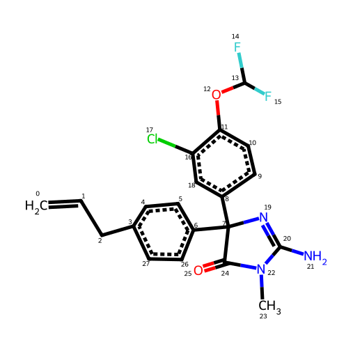 C=CCc1ccc(C2(c3ccc(OC(F)F)c(Cl)c3)N=C(N)N(C)C2=O)cc1